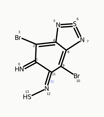 N=C1C(Br)=C2N=S=NC2=C(Br)/C1=N/S